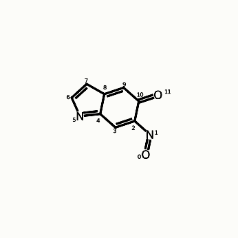 O=NC1=CC2=NC=CC2=CC1=O